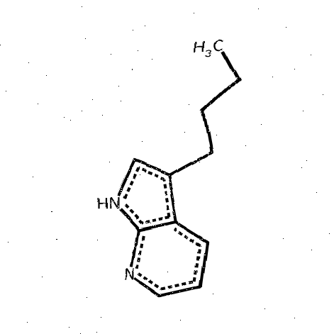 CCCCc1c[nH]c2ncccc12